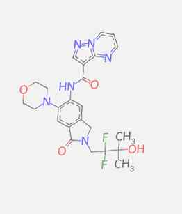 CC(C)(O)C(F)(F)CN1Cc2cc(NC(=O)c3cnn4cccnc34)c(N3CCOCC3)cc2C1=O